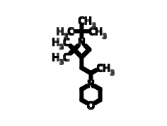 CC(CC1CN(C(C)(C)C)C1(C)C)N1CCOCC1